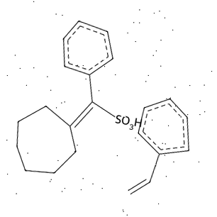 C=Cc1ccccc1.O=S(=O)(O)C(=C1CCCCCC1)c1ccccc1